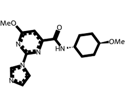 COc1cc(C(=O)N[C@H]2CC[C@H](OC)CC2)nc(-n2ccnc2)n1